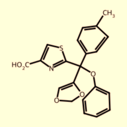 Cc1ccc(C(Oc2ccccc2)(C2=COCO2)c2nc(C(=O)O)cs2)cc1